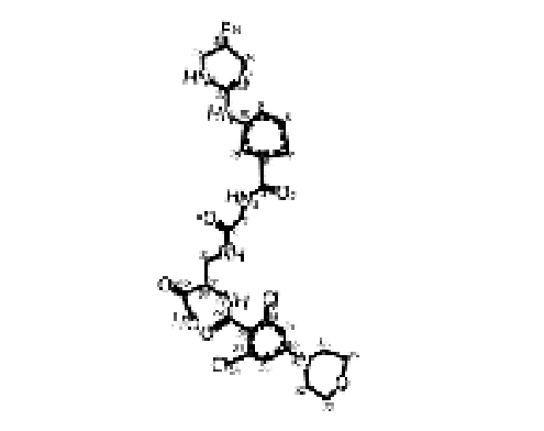 O=C(CNC(=O)c1cccc(NC2=NCC(F)CN2)c1)NC[C@@H](NC(=O)c1c(Cl)cc(N2CCOCC2)cc1Cl)C(=O)O